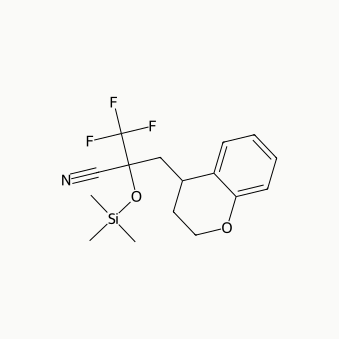 C[Si](C)(C)OC(C#N)(CC1CCOc2ccccc21)C(F)(F)F